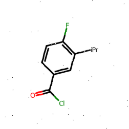 CC(C)c1cc(C(=O)Cl)ccc1F